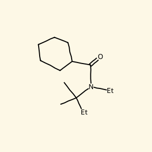 CCN(C(=O)C1CCCCC1)C(C)(C)CC